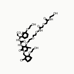 Cc1cn(Cc2c(Cl)cccc2OCCO)c(=O)c(NC(=O)N[C@@H](CC(=O)O)c2cccc(OCCO)c2)c1OCCOCCONC(=O)COCC(=O)NCCO